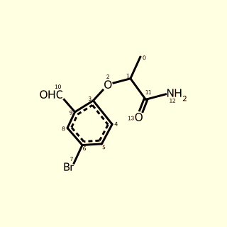 CC(Oc1ccc(Br)cc1C=O)C(N)=O